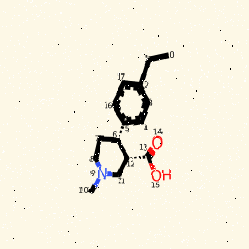 CCc1ccc([C@H]2CCN(C)C[C@H]2C(=O)O)cc1